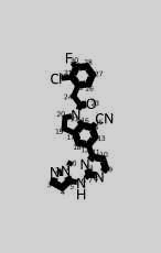 Cn1nccc1Nc1nccc(-c2cc(C#N)c3c(c2)CCN3C(=O)Cc2cccc(F)c2Cl)n1